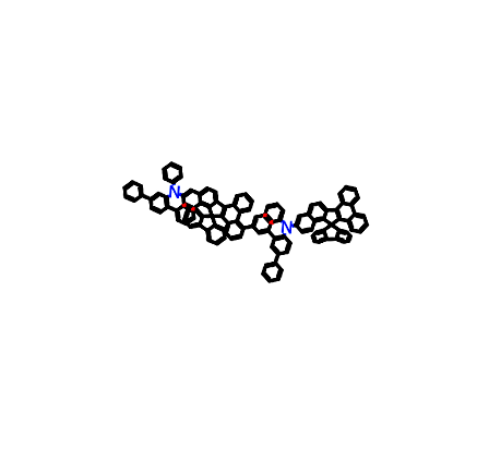 c1ccc(-c2ccc(N(c3ccccc3)c3ccc4c5c(ccc4c3)-c3c(c4ccccc4c4ccccc34)C53c4ccccc4-c4ccccc43)c(-c3cccc(-c4cccc5c6c(c7ccccc7c45)-c4ccc5cc(N(c7ccccc7)c7cc(-c8ccccc8)ccc7-c7ccccc7)ccc5c4C64c5ccccc5-c5ccccc54)c3)c2)cc1